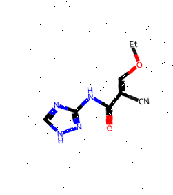 CCOC=C(C#N)C(=O)Nc1nc[nH]n1